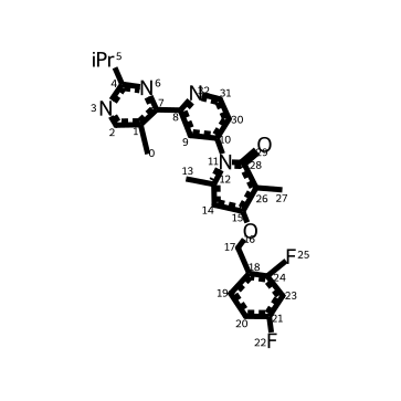 Cc1cnc(C(C)C)nc1-c1cc(-n2c(C)cc(OCc3ccc(F)cc3F)c(C)c2=O)ccn1